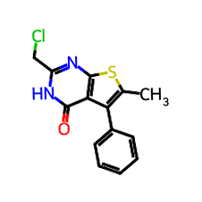 Cc1sc2nc(CCl)[nH]c(=O)c2c1-c1ccccc1